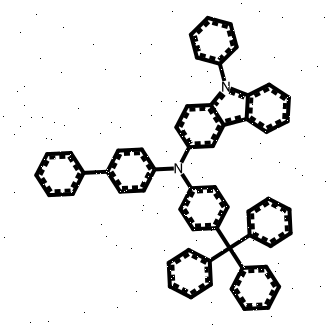 c1ccc(-c2ccc(N(c3ccc(C(c4ccccc4)(c4ccccc4)c4ccccc4)cc3)c3ccc4c(c3)c3ccccc3n4-c3ccccc3)cc2)cc1